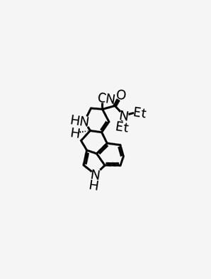 CCN(CC)C(=O)C1(C#N)C=C2c3cccc4[nH]cc(c34)C[C@H]2NC1